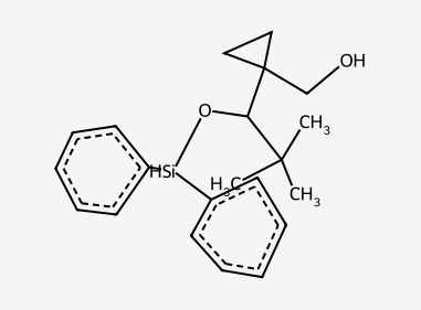 CC(C)(C)C(O[SiH](c1ccccc1)c1ccccc1)C1(CO)CC1